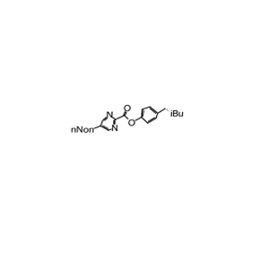 CCCCCCCCCc1cnc(C(=O)Oc2ccc(C[C@@H](C)CC)cc2)nc1